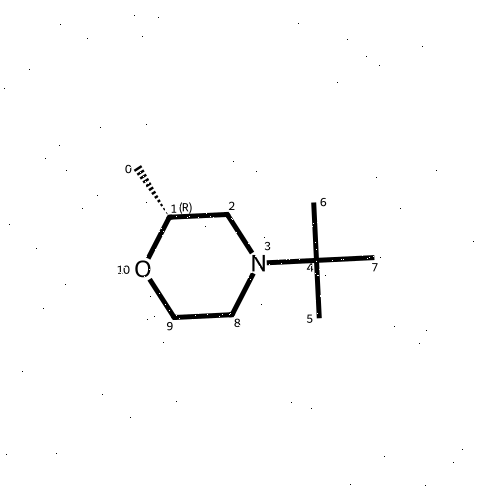 C[C@@H]1CN(C(C)(C)C)CCO1